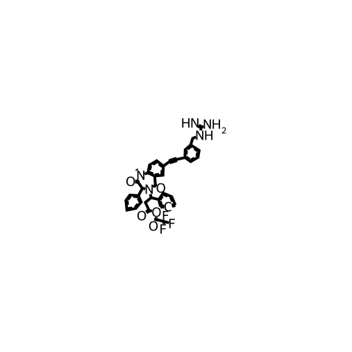 CN1C(=O)C(c2ccccc2)N(C(CC(=O)OC(=O)C(F)(F)F)c2ccccc2)C(=O)c2cc(C#Cc3cccc(CNC(=N)N)c3)ccc21